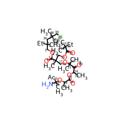 CCC(C)(COC(=O)C(C)(COC(=O)C(C)(C)CC)COC(C)(C)C(=O)C(C)OC(=O)C(C)OC(C)(N)C(C)=O)CC(C)(CF)C(F)(F)F